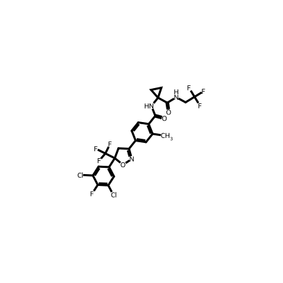 Cc1cc(C2=NOC(c3cc(Cl)c(F)c(Cl)c3)(C(F)(F)F)C2)ccc1C(=O)NC1(C(=O)NCC(F)(F)F)CC1